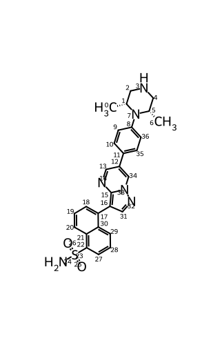 C[C@@H]1CNC[C@H](C)N1c1ccc(-c2cnc3c(-c4cccc5c(S(N)(=O)=O)cccc45)cnn3c2)cc1